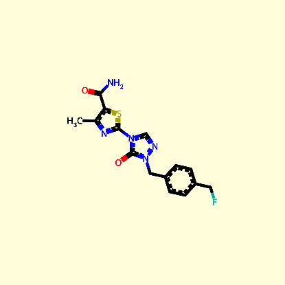 Cc1nc(-n2cnn(Cc3ccc(CF)cc3)c2=O)sc1C(N)=O